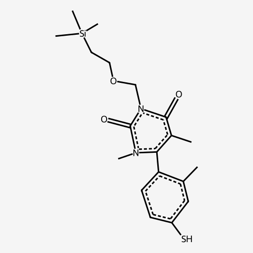 Cc1cc(S)ccc1-c1c(C)c(=O)n(COCC[Si](C)(C)C)c(=O)n1C